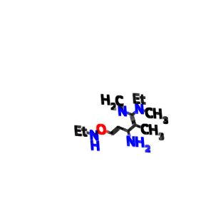 C=N/C(=C(/C)C(N)/C=C/ONCC)N(C)CC